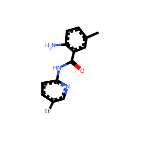 CCc1ccc(NC(=O)c2cc(C)ccc2N)nc1